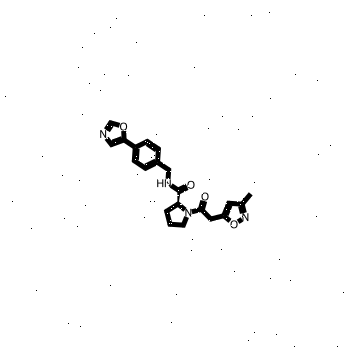 Cc1cc(CC(=O)N2CCC[C@H]2C(=O)NCc2ccc(-c3cnco3)cc2)on1